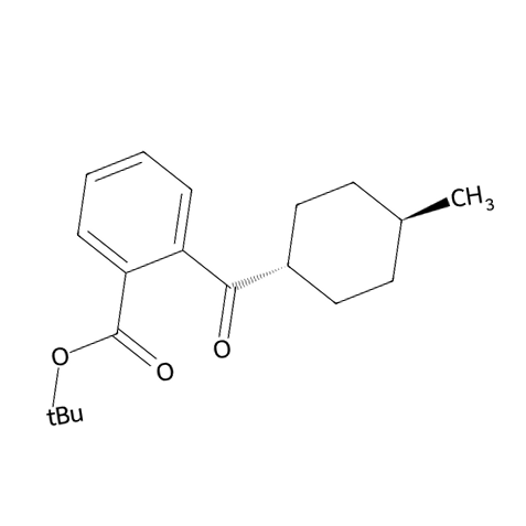 CC(C)(C)OC(=O)c1ccccc1C(=O)[C@H]1CC[C@H](C)CC1